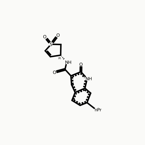 CCCc1ccc2cc(C(=O)N[C@@H]3C=CS(=O)(=O)C3)c(=O)[nH]c2c1